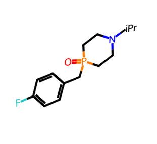 CC(C)N1CCP(=O)(Cc2ccc(F)cc2)CC1